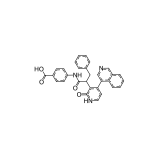 O=C(O)c1ccc(NC(=O)C(Cc2ccccc2)c2c(-c3cncc4ccccc34)cc[nH]c2=O)cc1